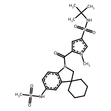 Cn1cc(S(=O)(=O)NC(C)(C)C)cc1C(=O)N1CC2(CCCCC2)c2cc(NS(C)(=O)=O)ccc21